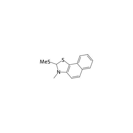 CSC1Sc2c(ccc3ccccc23)N1C